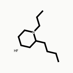 CCCCC1CCCCN1CCC.F